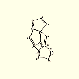 O=C1C2=CC3=CC=CC13C=C1OCC=C12